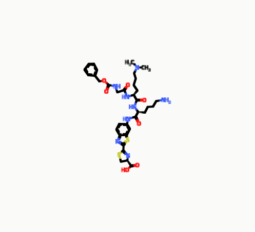 CN(C)CCCC[C@H](NC(=O)CNC(=O)OCc1ccccc1)C(=O)N[C@@H](CCCCN)C(=O)Nc1ccc2nc(C3=N[C@@H](C(=O)O)CS3)sc2c1